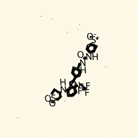 C[S+]([O-])c1ccc(NC(=O)NCc2ccc(-c3cc4c(NC5CCS(=O)(=O)CC5)cccc4n3CC(F)(F)F)cc2)cc1